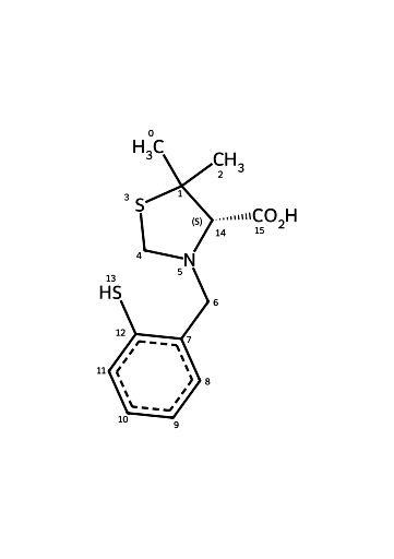 CC1(C)SCN(Cc2ccccc2S)[C@H]1C(=O)O